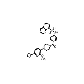 COc1nc(C2CCC2)ccc1N1CCN(C(=O)c2ccc(NS(=O)(=O)c3cccc4cccnc34)cc2)CC1